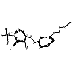 CCCCOc1cccc(COc2cnn(C(C)(C)C)c(=O)c2Cl)c1